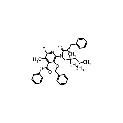 Cc1c(F)nc(N(CC(C)(C)CN(C)C)C(=O)OCc2ccccc2)c(OCc2ccccc2)c1C(=O)Oc1ccccc1